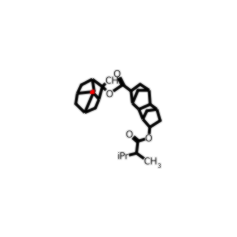 CC(C)C(C)C(=O)OC1CC2CC1C1C3CC(CC3C(=O)OC3(C)C4CC5CC(C4)CC3C5)C21